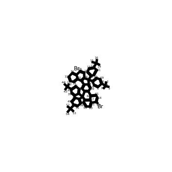 CC(C)(C)c1ccc(C2(c3ccc(C(C)(C)C)cc3)c3cc4c(cc3-c3c2cc(Br)c2ccccc32)C(c2ccc(C(C)(C)C)cc2)(c2ccc(C(C)(C)C)cc2)c2cccc3c(Br)ccc-4c23)cc1